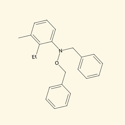 CCc1c(C)cccc1N(Cc1ccccc1)OCc1ccccc1